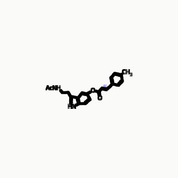 CC(=O)NCCc1c[nH]c2ccc(OC(=O)/C=C/c3ccc(C)cc3)cc12